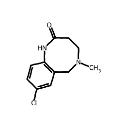 CN1CCC(=O)Nc2ccc(Cl)cc2C1